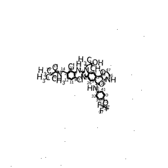 CC(C)(O)Cn1c(Nc2c(Cl)ccc(CNC(=O)C(C)(C)C)c2Cl)nc2cc(C(=O)Nc3ccc(OC(F)(F)F)cc3)c(C3CNCCO3)cc21